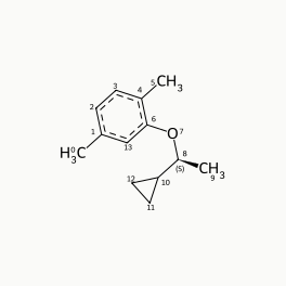 Cc1ccc(C)c(O[C@@H](C)C2CC2)c1